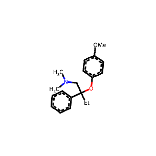 CCC(CN(C)C)(Oc1ccc(OC)cc1)c1ccccc1